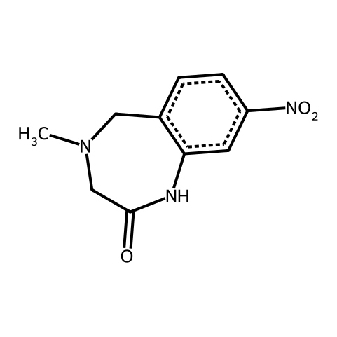 CN1CC(=O)Nc2cc([N+](=O)[O-])ccc2C1